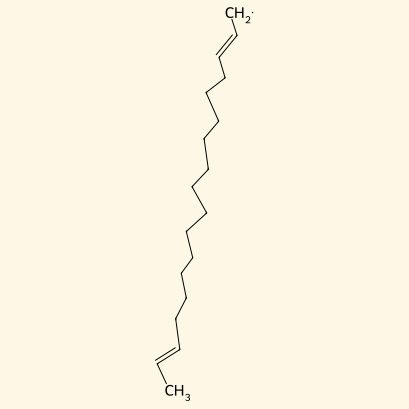 [CH2]C=CCCCCCCCCCCCCC=CC